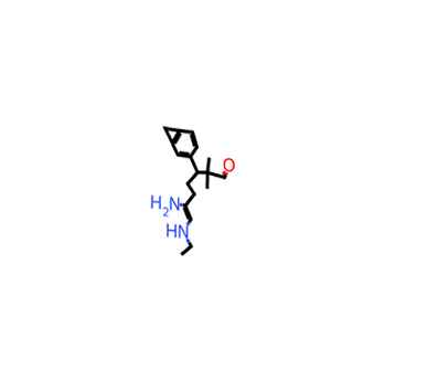 CCN/C=C(\N)CCC(c1ccc2c(c1)C2)C(C)(C)C=O